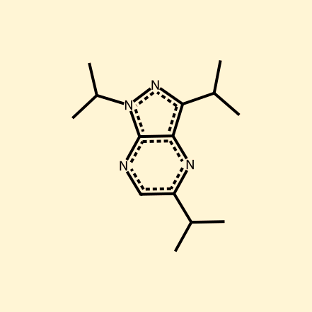 CC(C)c1cnc2c(n1)c(C(C)C)nn2C(C)C